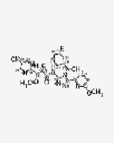 COc1cccc(-c2nnc(N[S+]([O-])C(C)C(OC)c3ncc(Cl)cn3)n2[C@@H](C)c2cncc(F)c2)n1